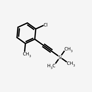 Cc1cccc(Cl)c1C#C[Si](C)(C)C